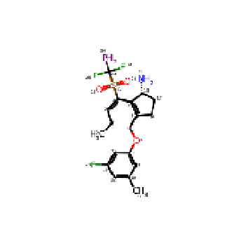 CC/C=C(\C1=C(COc2cc(C)cc(F)c2)CC[C@H]1N)S(=O)(=O)C(F)(F)P